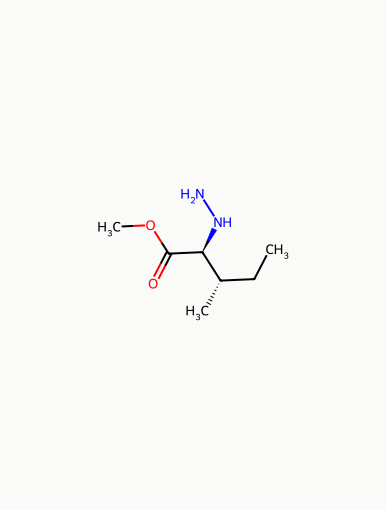 CC[C@H](C)[C@H](NN)C(=O)OC